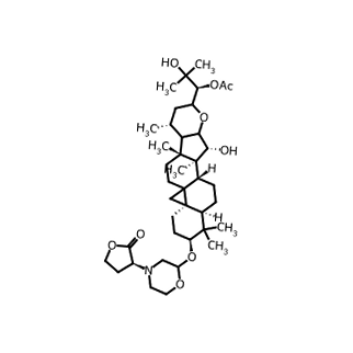 CC(=O)O[C@@H](C1C[C@@H](C)C2C(O1)[C@H](O)[C@@]1(C)[C@@H]3CC[C@H]4C(C)(C)[C@@H](OC5CN([C@H]6CCOC6=O)CCO5)CC[C@@]45CC35CC[C@]21C)C(C)(C)O